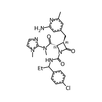 CCC(NC(=O)N1C(=O)[C@H](Cc2cc(C)nc(N)c2)[C@H]1C(=O)N(C)c1nccn1C)c1ccc(Cl)cc1